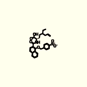 C=CCC(CC)CC[C@H](NC(=O)c1ccc2ccccc2c1OCc1ccc([N+](=O)[O-])cc1)C(=O)O